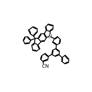 N#Cc1cccc(-c2cc(-c3ccccc3)cc(-c3cccc(-n4c5ccccc5c5cc6c(cc54)-c4ccccc4C6(c4ccccc4)c4ccccc4)c3)c2)c1